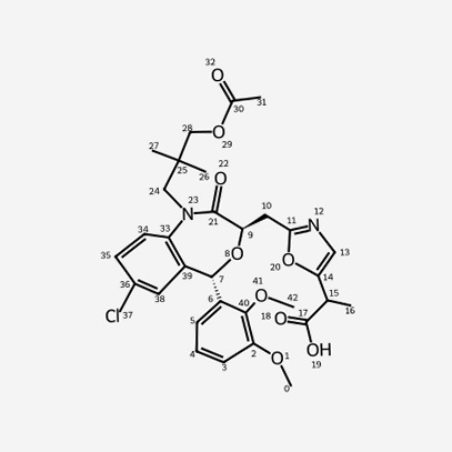 COc1cccc([C@H]2O[C@H](Cc3ncc(C(C)C(=O)O)o3)C(=O)N(CC(C)(C)COC(C)=O)c3ccc(Cl)cc32)c1OC